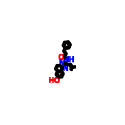 CC(C)=Cc1nc2c(nc1NC(=O)CCc1ccccc1)CCc1cc(O)ccc1-2